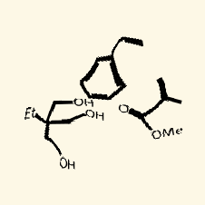 C=C(C)C(=O)OC.C=Cc1ccccc1.CCC(CO)(CO)CO